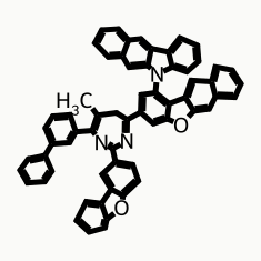 CC1=C(c2cccc(-c3ccccc3)c2)N=C(c2ccc3oc4ccccc4c3c2)N=C(c2cc(-n3c4ccccc4c4cc5ccccc5cc43)c3c(c2)oc2cc4ccccc4cc23)C1